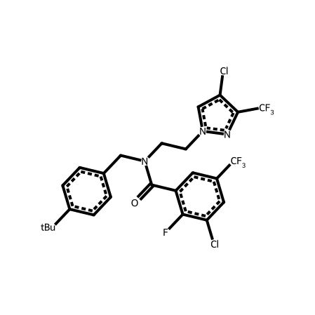 CC(C)(C)c1ccc(CN(CCn2cc(Cl)c(C(F)(F)F)n2)C(=O)c2cc(C(F)(F)F)cc(Cl)c2F)cc1